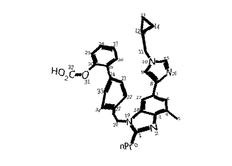 CCCc1nc2c(C)cc(-c3cn(CC4CC4)cn3)cc2n1Cc1ccc(-c2ccccc2OC(=O)O)cc1